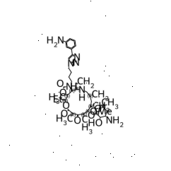 C=C[C@H]1NC[C@H](C)C[C@@](C)(OC)[C@H](O[C@@H]2O[C@H](C)CC(N)C2O)[C@@H](C)C(=O)[C@@H](C)C(=O)O[C@H](CC)[C@@]2(C)OC(=O)N(CCCCn3cc(-c4cccc(N)c4)nn3)[C@H]12